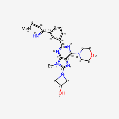 CCn1c(N2CC(O)C2)nc2c(N3CCOCC3)nc(-c3cccc(C(=N)/C=C\NC)c3)nc21